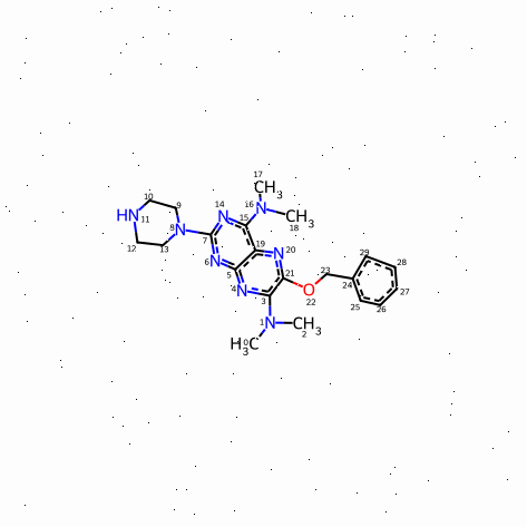 CN(C)c1nc2nc(N3CCNCC3)nc(N(C)C)c2nc1OCc1ccccc1